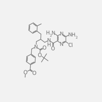 COC(=O)c1ccc(CN(CC(CNC(=O)c2nc(Cl)c(N)nc2N)Cc2ccccc2C)C(=O)OC(C)(C)C)cc1